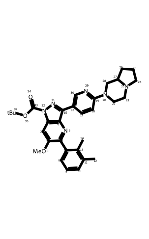 COc1cc2c(nc1-c1cccc(C)c1C)c(-c1ccc(N3CCN4CCCC4C3)nc1)nn2C(=O)OC(C)(C)C